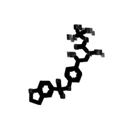 CN(CC(O)c1ccc(OS(=O)(=O)c2ccc3c(c2)CCO3)cc1)C(=O)OC(C)(C)C